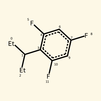 CCC(CC)c1c(F)cc(F)cc1F